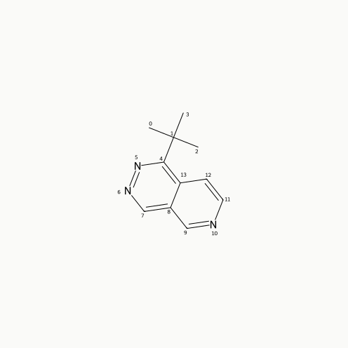 CC(C)(C)c1nncc2cnccc12